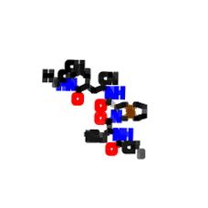 CC1(C)CC[C@@H](C[C@@H](C#N)NC(=O)[C@@H]2CS3(CCCC3)CN2C(=O)[C@@H](NC(=O)C(F)(F)F)C(C)(C)C)C(=O)N1